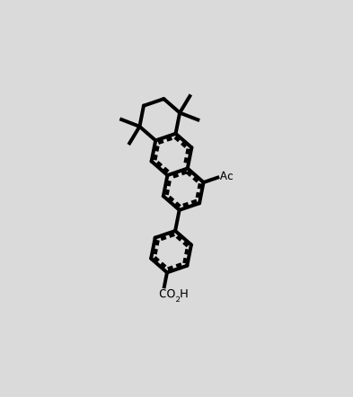 CC(=O)c1cc(-c2ccc(C(=O)O)cc2)cc2cc3c(cc12)C(C)(C)CCC3(C)C